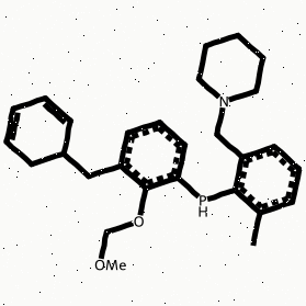 COCOc1c(CC2C=CC=CC2)cccc1Pc1c(C)cccc1CN1CCCCC1